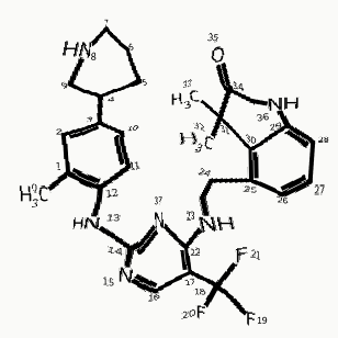 Cc1cc(C2CCCNC2)ccc1Nc1ncc(C(F)(F)F)c(NCc2cccc3c2C(C)(C)C(=O)N3)n1